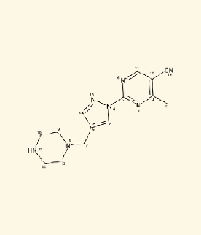 Cc1nc(-n2cc(CN3CCNCC3)cn2)ncc1C#N